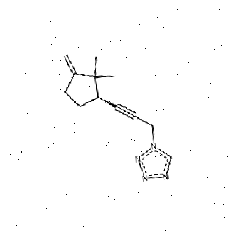 C=C1CC[C@H](C#CCn2cnnn2)C1(C)C